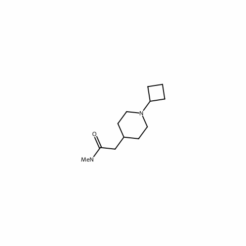 CNC(=O)CC1CCN(C2CCC2)CC1